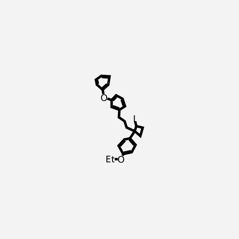 CCOc1ccc(C2(CCCc3cccc(Oc4ccccc4)c3)CCC2I)cc1